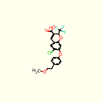 COCCc1ccc(Oc2cc3c(cc2Cl)C=C(C(=O)O)C(C(F)(F)F)O3)cc1